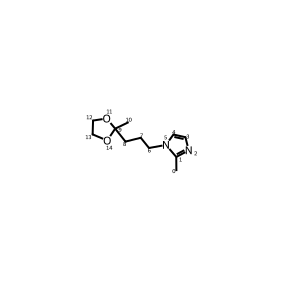 Cc1nccn1CCCC1(C)OCCO1